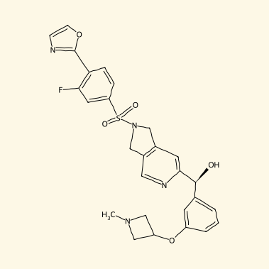 CN1CC(Oc2cccc([C@H](O)c3cc4c(cn3)CN(S(=O)(=O)c3ccc(-c5ncco5)c(F)c3)C4)c2)C1